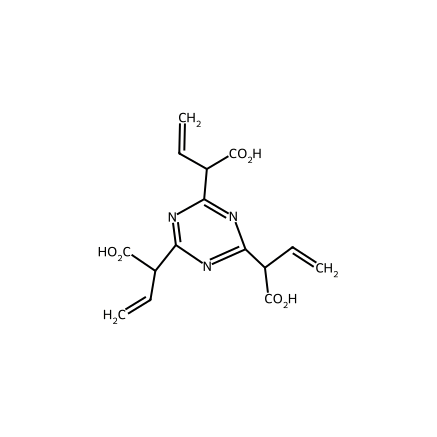 C=CC(C(=O)O)c1nc(C(C=C)C(=O)O)nc(C(C=C)C(=O)O)n1